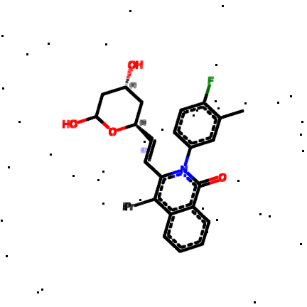 Cc1cc(-n2c(/C=C/[C@@H]3C[C@@H](O)CC(O)O3)c(C(C)C)c3ccccc3c2=O)ccc1F